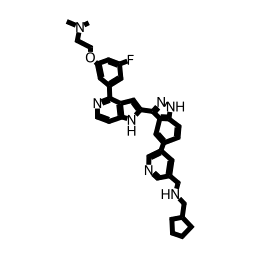 CN(C)CCOc1cc(F)cc(-c2nccc3[nH]c(-c4n[nH]c5ccc(-c6cncc(CNCC7CCCC7)c6)cc45)cc23)c1